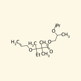 C=CCOC(C)(CC)C(C)(C)C(=O)OCC(C)OC(C)C